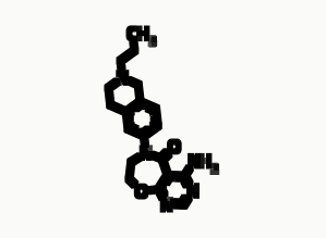 CCCN1CCc2cc(N3CCOc4ncnc(N)c4C3=O)ccc2C1